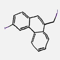 ICc1cc2ccc(I)cc2c2ccccc12